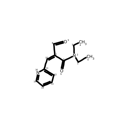 CCN(CC)C(=O)C([C]=O)=Cc1ccccn1